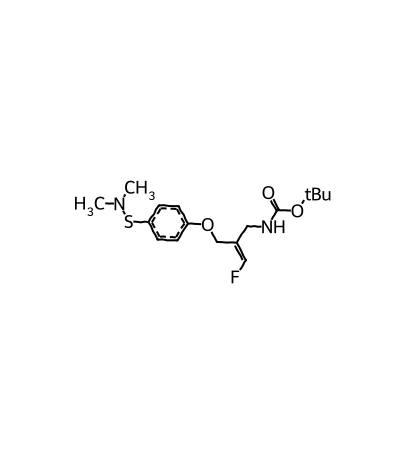 CN(C)Sc1ccc(OC/C(=C\F)CNC(=O)OC(C)(C)C)cc1